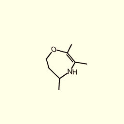 CC1=C(C)OCCC(C)N1